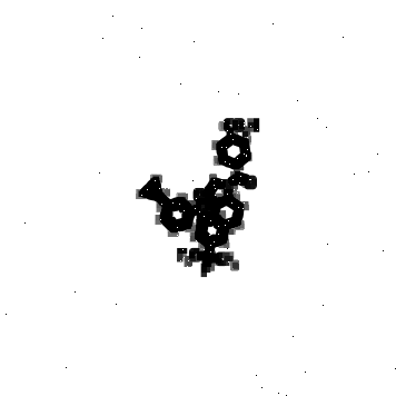 O=C(O)[C@H]1CC[C@H](C(=O)N2CCC3(S(=O)(=O)c4cccc(C5CC5)c4)c4ccc(C(F)(C(F)(F)F)C(F)(F)F)cc4CCC23)CC1